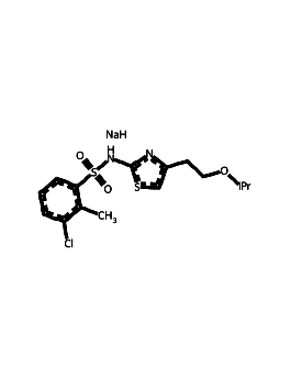 Cc1c(Cl)cccc1S(=O)(=O)Nc1nc(CCOC(C)C)cs1.[NaH]